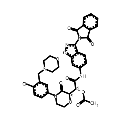 CC(=O)O[C@@H](C(=O)Nc1ccc2c(N3C(=O)c4ccccc4C3=O)noc2c1)[C@H]1OCCN(c2ccc(Cl)c(CN3CCOCC3)c2)C1=O